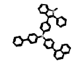 Cn1c(-c2ccccc2)c(-c2ccc(N(c3ccc(-c4ccccc4)cc3)c3ccc(-c4cccc5ccccc45)cc3)cc2)c2ccccc21